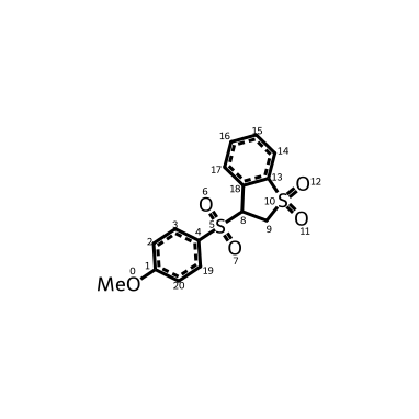 COc1ccc(S(=O)(=O)C2CS(=O)(=O)c3ccccc32)cc1